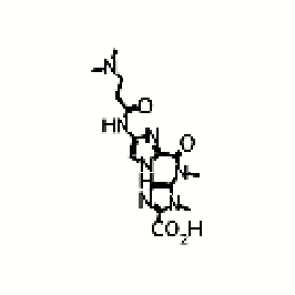 CN(C)CCC(=O)Nc1c[nH]c(C(=O)N(C)c2cnc(C(=O)O)n2C)n1